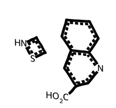 O=C(O)c1cnc2ccccc2c1.c1cs[nH]1